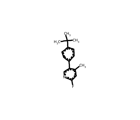 Cc1cc(F)ncc1-c1ccc(C(C)(C)C)cc1